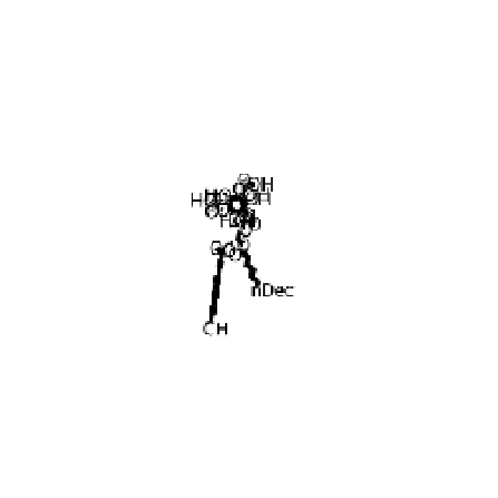 C#CC#CC#CC#CC#CC(=O)OC[C@H](COP(=O)(O)OC1C(O)[C@H](OP(=O)(O)O)[C@H](O)C(OP(=O)(O)O)[C@@H]1O)OC(=O)CCCCCCCCCCCCCCC